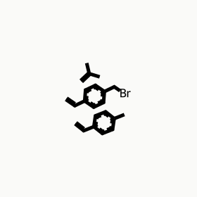 C=C(C)C.C=Cc1ccc(C)cc1.C=Cc1ccc(CBr)cc1